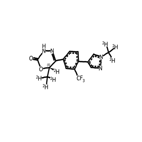 [2H]C([2H])([2H])n1cc(-c2ccc(C3=NNC(=O)O[C@@]3([2H])C([2H])([2H])[2H])cc2C(F)(F)F)cn1